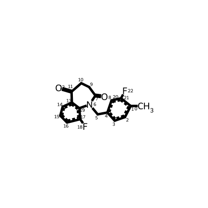 Cc1ccc(CN2C(=O)CCC(=O)c3cccc(F)c32)cc1F